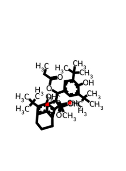 CCC(=O)OC(c1cc(C(C)(C)C)c(O)c(C(C)(C)C)c1)C(Cc1c2c(C(C)(C)C)c(O)c(C(C)(C)C)c1CCC2)C(=O)O